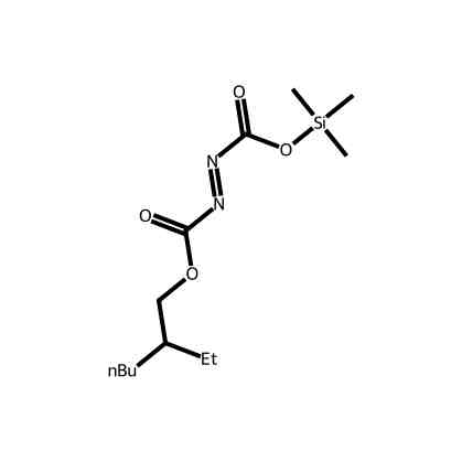 CCCCC(CC)COC(=O)N=NC(=O)O[Si](C)(C)C